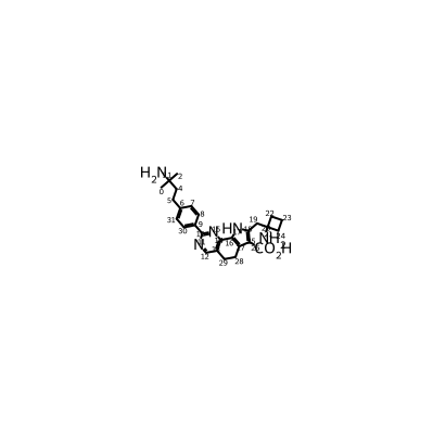 CC(C)(N)CCc1ccc(-c2ncc3c(n2)-c2[nH]c(CC4(N)CCC4)c(C(=O)O)c2CC3)cc1